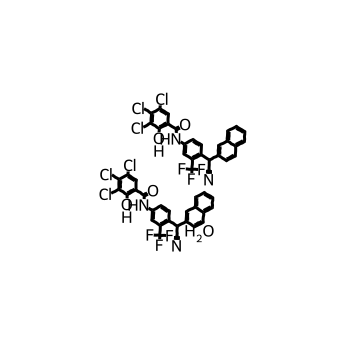 N#CC(c1ccc2ccccc2c1)c1ccc(NC(=O)c2cc(Cl)c(Cl)c(Cl)c2O)cc1C(F)(F)F.N#CC(c1ccc2ccccc2c1)c1ccc(NC(=O)c2cc(Cl)c(Cl)c(Cl)c2O)cc1C(F)(F)F.O